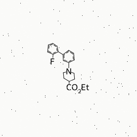 CCOC(=O)C1CCN(c2cccc(-c3ccccc3F)c2)CC1